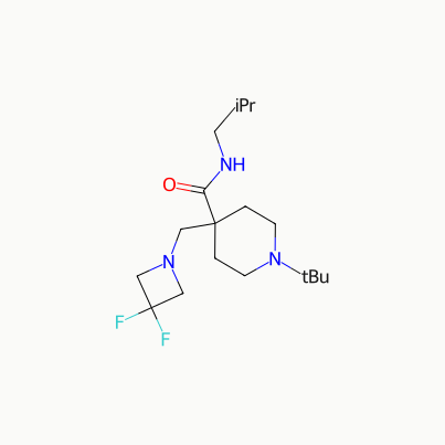 CC(C)CNC(=O)C1(CN2CC(F)(F)C2)CCN(C(C)(C)C)CC1